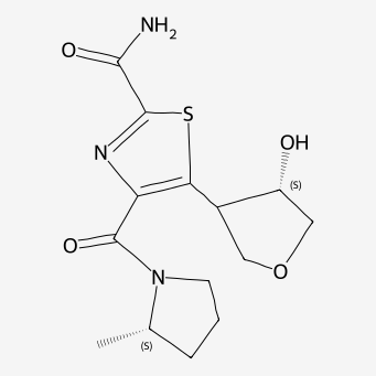 C[C@H]1CCCN1C(=O)c1nc(C(N)=O)sc1C1COC[C@H]1O